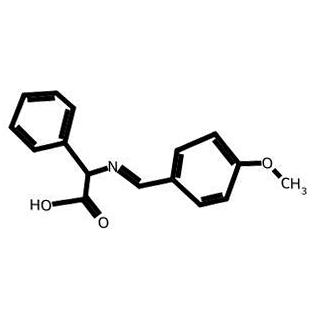 COc1ccc(C=NC(C(=O)O)c2ccccc2)cc1